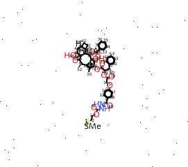 CSSCCOC(=O)NNC(=O)c1ccc(OCC(=O)O[C@@H](C(=O)O[C@H]2C[C@@]3(O)[C@@H](OC(=O)c4ccccc4)[C@@H]4[C@]5(OC(C)=O)CC[C@@H]5C[C@H](O)[C@@]4(C)C(=O)[C@H](C)C(=C2C)C3(C)C)[C@@H](C)c2ccccc2)cc1